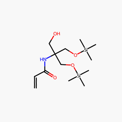 C=CC(=O)NC(CO)(CO[Si](C)(C)C)CO[Si](C)(C)C